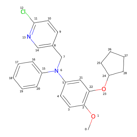 COc1ccc(N(Cc2ccc(Cl)nc2)c2ccccc2)cc1OC1CCCC1